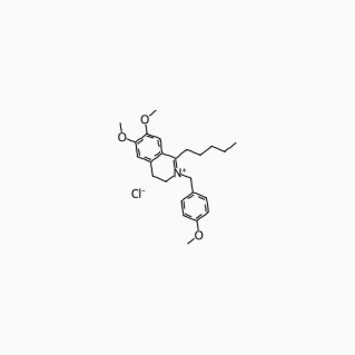 CCCCCC1=[N+](Cc2ccc(OC)cc2)CCc2cc(OC)c(OC)cc21.[Cl-]